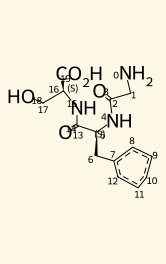 NCC(=O)N[C@@H](Cc1ccccc1)C(=O)N[C@@H](CO)C(=O)O